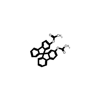 CC(=O)Oc1ccc2c(c1)C1(c3ccccc3-2)c2ccccc2-c2ccc(OC(C)=O)cc21